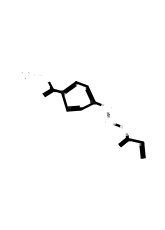 C=CC(=O)OOOc1ccc(C(=O)OC)cc1